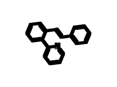 C(=C\c1ccccc1-c1ccccn1)/c1ccccc1